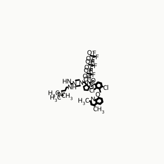 Cc1cc(C)c2cccc(OCc3c(Cl)ccc(S(=O)(=O)NC4(C(=O)N5CCN(C(=N)NCCC[N+](C)(C)C)CC5)CCCC4)c3Cl)c2n1.O=C(O)C(F)(F)F.O=C(O)C(F)(F)F.O=C([O-])C(F)(F)F